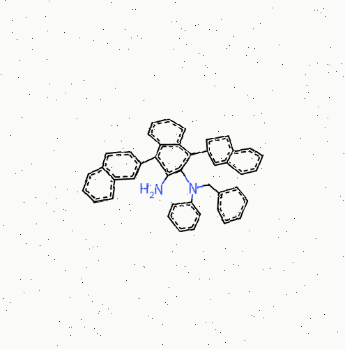 Nc1c(N(Cc2ccccc2)c2ccccc2)c(-c2ccc3ccccc3c2)c2ccccc2c1-c1ccc2ccccc2c1